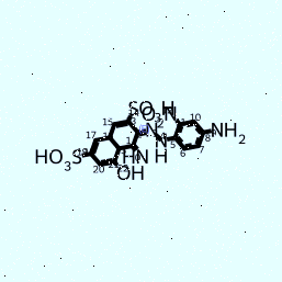 N=C1/C(=N\Nc2ccc(N)cc2[N+](=O)[O-])C(S(=O)(=O)O)=CC2C=C(S(=O)(=O)O)C=C(O)C12